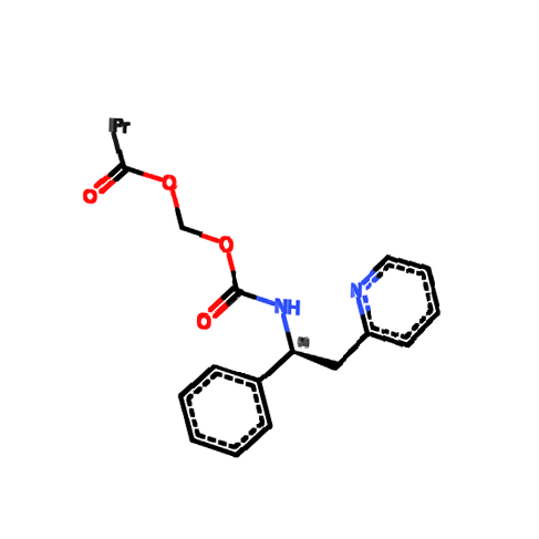 CC(C)C(=O)OCOC(=O)N[C@@H](Cc1ccccn1)c1ccccc1